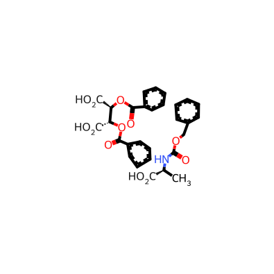 C[C@H](NC(=O)OCc1ccccc1)C(=O)O.O=C(O[C@H](C(=O)O)[C@H](OC(=O)c1ccccc1)C(=O)O)c1ccccc1